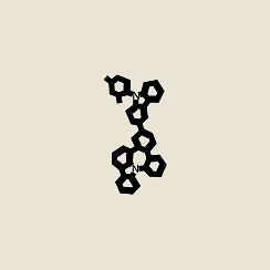 CC1CC=C(n2c3ccccc3c3cc(-c4ccc5c(c4)-c4cccc6c7ccccc7n(c46)-c4ccccc4-5)ccc32)C(C)C1